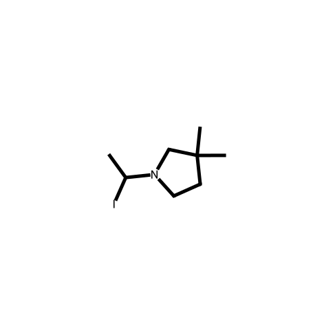 CC(I)N1CCC(C)(C)C1